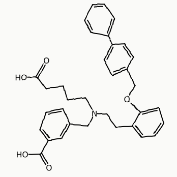 O=C(O)CCCCN(CCc1ccccc1OCc1ccc(-c2ccccc2)cc1)Cc1cccc(C(=O)O)c1